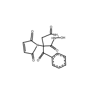 NC(=O)CC(C(=O)NO)(C(=O)c1ccccc1)N1C(=O)C=CC1=O